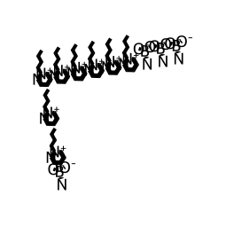 CCCC[n+]1ccccn1.CCCC[n+]1ccccn1.CCCC[n+]1ccccn1.CCCC[n+]1ccccn1.CCCC[n+]1ccccn1.CCCC[n+]1ccccn1.CCCC[n+]1ccccn1.CCCC[n+]1ccccn1.N#CB([O-])[O-].N#CB([O-])[O-].N#CB([O-])[O-].N#CB([O-])[O-]